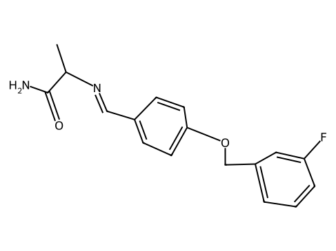 CC(N=Cc1ccc(OCc2cccc(F)c2)cc1)C(N)=O